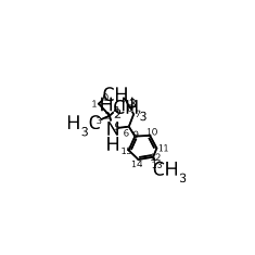 CCC(C)(C)NC(CN)c1ccc(C)cc1